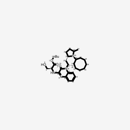 CCCCOC(=O)[C@H](CO)Nc1nc2ccccc2n([C@@H](C)C[C@@H]2CCC(C)N2C2CCCCCCC2)c1=O